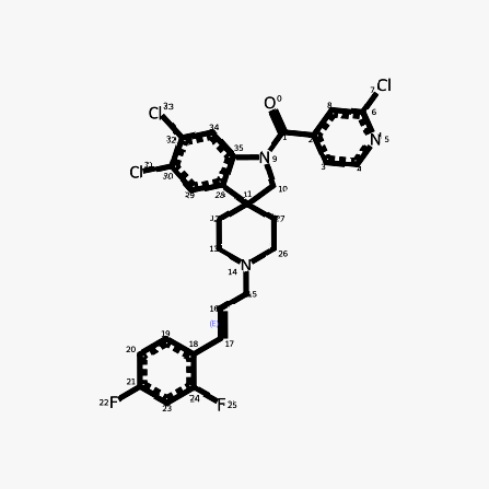 O=C(c1ccnc(Cl)c1)N1CC2(CCN(C/C=C/c3ccc(F)cc3F)CC2)c2cc(Cl)c(Cl)cc21